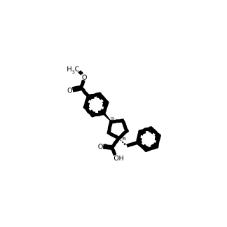 COC(=O)c1ccc([C@H]2CC[C@@](Cc3ccccc3)(C(=O)O)C2)cc1